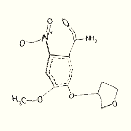 COc1cc([N+](=O)[O-])c(C(N)=O)cc1OC1CCOC1